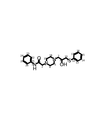 O=C(CN1CCN(CC(O)CSc2ccccc2)CC1)Nc1ccccc1